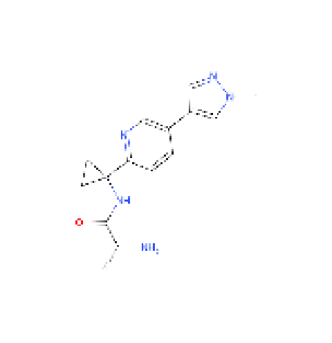 C[C@@H](N)C(=O)NC1(c2ccc(-c3cnn(C)c3)cn2)CC1